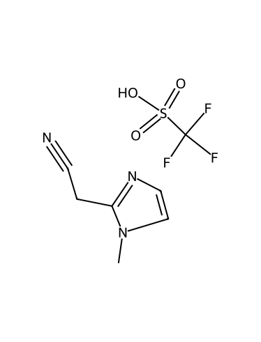 Cn1ccnc1CC#N.O=S(=O)(O)C(F)(F)F